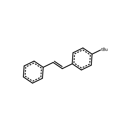 CC(C)(C)c1ccc(/C=C/c2ccccc2)cc1